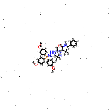 C=C(N[C@@H](CN=P(c1ccc(OC)cc1)(c1ccc(OC)cc1)c1ccc(OC)cc1)C(C)(C)C)N[C@@H](C(=O)N(C)Cc1ccccc1)C(C)(C)C